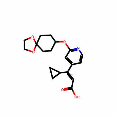 O=C(O)/C=C(/c1ccnc(OC2CCC3(CC2)OCCO3)c1)C1CC1